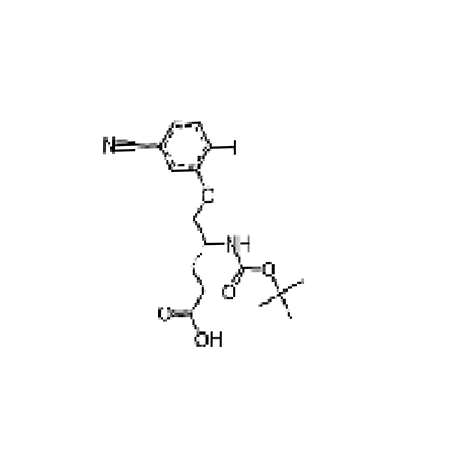 CC(C)(C)OC(=O)N[C@H](CCC(=O)O)COc1cc(C#N)ccc1I